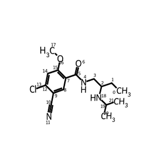 CCC(CNC(=O)c1cc(C#N)c(Cl)cc1OC)NC(C)C